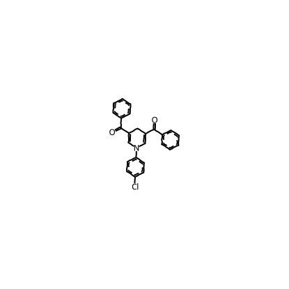 O=C(C1=CN(c2ccc(Cl)cc2)C=C(C(=O)c2ccccc2)C1)c1ccccc1